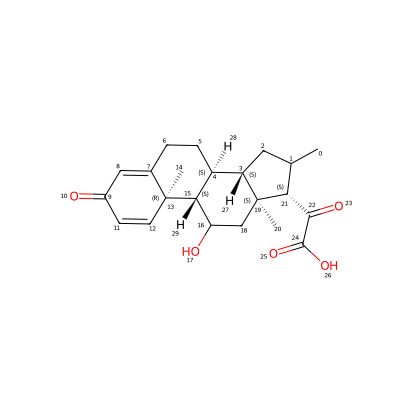 CC1C[C@H]2[C@@H]3CCC4=CC(=O)C=C[C@]4(C)[C@H]3C(O)C[C@]2(C)[C@H]1C(=O)C(=O)O